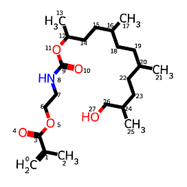 C=C(C)C(=O)OCCNC(=O)OC(C)CCC(C)CCC(C)CCC(C)CO